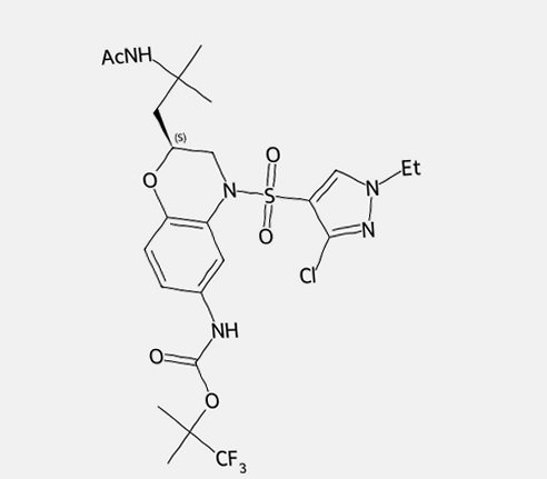 CCn1cc(S(=O)(=O)N2C[C@H](CC(C)(C)NC(C)=O)Oc3ccc(NC(=O)OC(C)(C)C(F)(F)F)cc32)c(Cl)n1